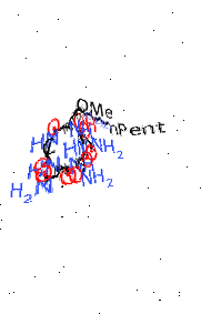 CCCCC/C=C/C=C/C=C/[C@H](C[C@H](O)C[C@@H]1CC(=O)NCCC(=O)N[C@H](CC(N)=O)C(=O)N[C@H](CC(N)=O)C(=O)N[C@@H](CC(N)=O)C(=O)N1)OC